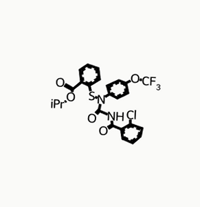 CC(C)OC(=O)c1ccccc1SN(C(=O)NC(=O)c1ccccc1Cl)c1ccc(OC(F)(F)F)cc1